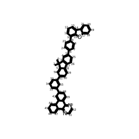 CC1(C)c2cc(-c3ccc(-c4cccc5c4oc4ccccc45)cc3)ccc2-c2ccc(-c3cccc(-c4ccc5c(c4)c4ccccc4c4nccnc54)c3)cc21